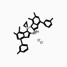 CCCCC1=Cc2c(-c3cccc(C)c3)cc(C)c(C)c2[CH]1[Zr+2]1([CH]2C(CCCC)=Cc3c(-c4cccc(C)c4)cc(C)c(C)c32)[CH2][CH2]1.[Cl-].[Cl-]